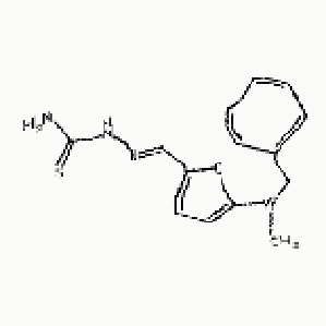 CN(Cc1ccccc1)c1ccc(C=NNC(N)=S)o1